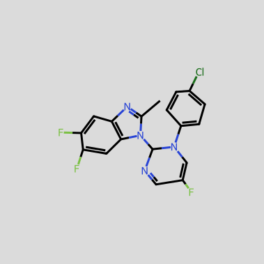 Cc1nc2cc(F)c(F)cc2n1C1N=CC(F)=CN1c1ccc(Cl)cc1